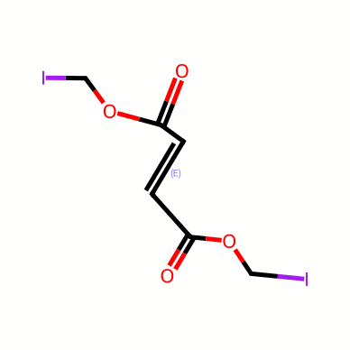 O=C(/C=C/C(=O)OCI)OCI